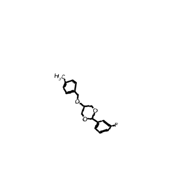 Cc1ccc(COC2COC(c3cccc(F)c3)OC2)cc1